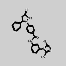 O=C1CC(c2ccccc2)N(c2ccc(C(=O)Nc3cccc(-n4c(S)nnc4S)c3)cc2)N1